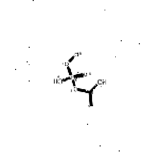 CC(O)OP(=O)(O)OCl